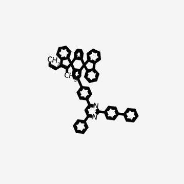 C/C=C\C1=C(C)C2(c3ccccc31)c1ccccc1C1(c3ccccc3-c3ccccc31)c1cc(-c3ccc(-c4cc(-c5ccccc5)nc(-c5ccc(-c6ccccc6)cc5)n4)cc3)ccc12